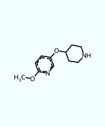 COc1ccc(OC2CCNCC2)cn1